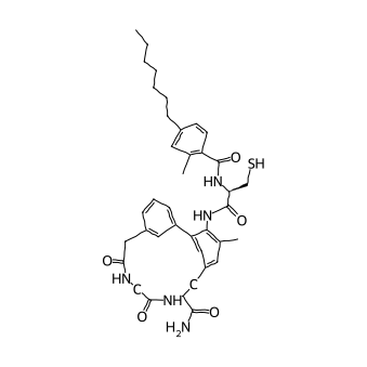 CCCCCCCc1ccc(C(=O)N[C@@H](CS)C(=O)Nc2c(C)cc3cc2-c2cccc(c2)CC(=O)NCC(=O)NC(C(N)=O)C3)c(C)c1